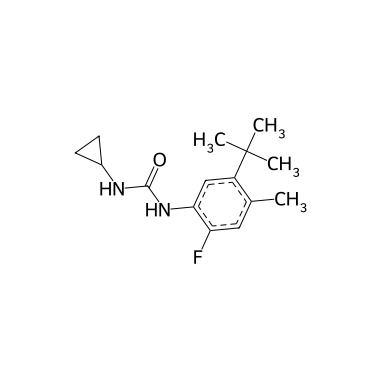 Cc1cc(F)c(NC(=O)NC2CC2)cc1C(C)(C)C